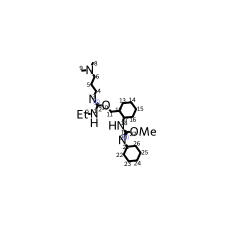 CCN/C(=N/CCCN(C)C)OCC1CCCCC1N/C(=N/C1CCCCC1)OC